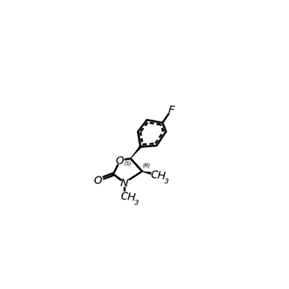 C[C@@H]1[C@H](c2ccc(F)cc2)OC(=O)N1C